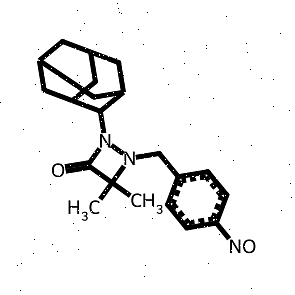 CC1(C)C(=O)N(C2C3CC4CC(C3)CC2C4)N1Cc1ccc(N=O)cc1